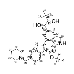 CC(C)(C)OCn1c(-c2cc(C(O)C(O)C(C)(C)C)cc3c2C(=O)NC3)cc2cc(CN3CCCCC3)ccc21